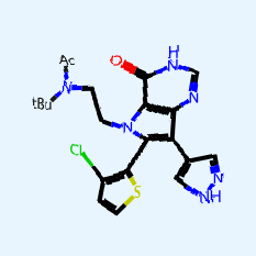 CC(=O)N(CCn1c(-c2sccc2Cl)c(-c2cn[nH]c2)c2nc[nH]c(=O)c21)C(C)(C)C